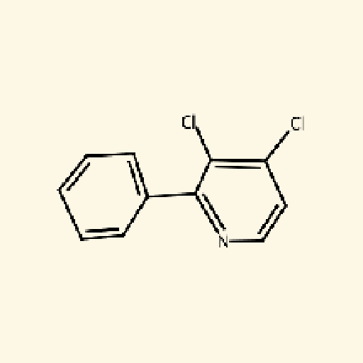 Clc1ccnc(-c2ccccc2)c1Cl